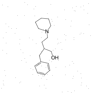 OCC(CCN1CCCCC1)Cc1ccccc1